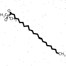 CCCCCCCCC=CCCCCCCCCCCCC(=O)P(C)(C)=O